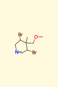 COCC1(C)C(Br)C=NCC1Br